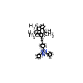 Cc1cc2c3c4c(cccc14)C(C)(C)c1cc(C#Cc4ccc(-c5nc(-c6ccccc6)nc(-c6ccccc6)n5)cc4)cc(c1-3)C2(C)C